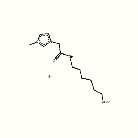 CCCCCCCCCCCCCCCCNC(=O)C[n+]1ccn(C)c1.[Br-]